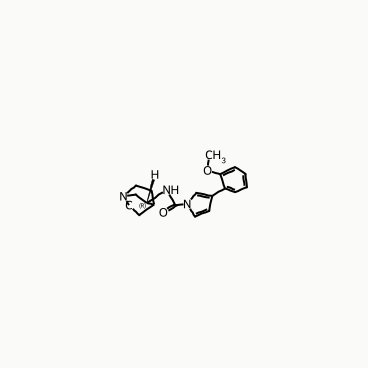 COc1ccccc1-c1ccn(C(=O)N[C@H]2CN3CCC2CC3)c1